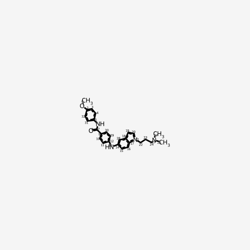 COc1ccc(NC(=O)c2ccc(Nc3ccc4c(ccn4CCCN(C)C)c3)cc2)cc1